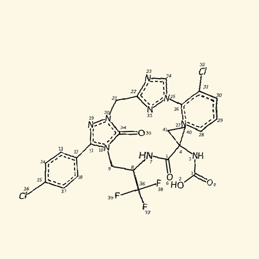 O=C(O)NC1(C(=O)NC(Cn2c(-c3ccc(Cl)cc3)nn(Cc3ncn(-c4ncccc4Cl)n3)c2=O)C(F)(F)F)CC1